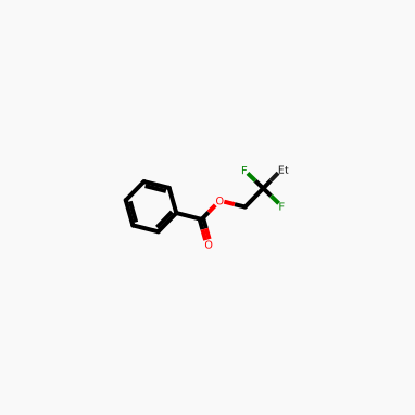 CCC(F)(F)COC(=O)c1ccccc1